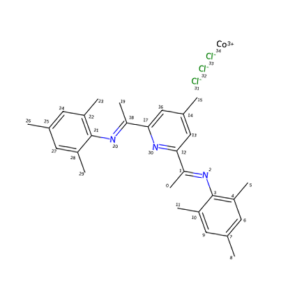 CC(=Nc1c(C)cc(C)cc1C)c1cc(C)cc(C(C)=Nc2c(C)cc(C)cc2C)n1.[Cl-].[Cl-].[Cl-].[Co+3]